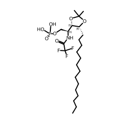 CCCCCCCCCCCCCC[C@H]1OC(C)(C)O[C@H]1[C@H](COP(=O)(O)O)NC(=O)C(F)(F)F